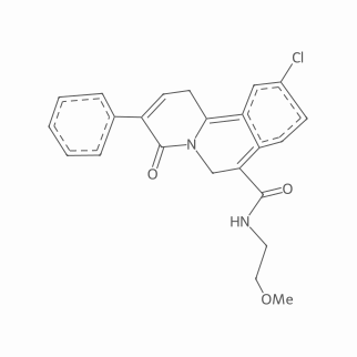 COCCNC(=O)C1=c2ccc(Cl)cc2=C2CC=C(c3ccccc3)C(=O)N2C1